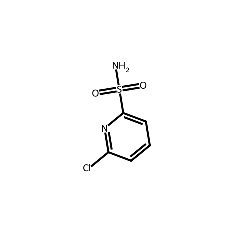 NS(=O)(=O)c1cccc(Cl)n1